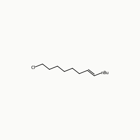 CCCCC=CCCCCCCCl